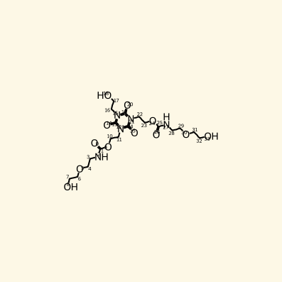 O=C(NCCOCCO)OCCn1c(=O)n(CCO)c(=O)n(CCOC(=O)NCCOCCO)c1=O